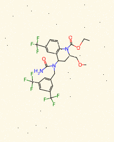 CCOC(=O)N1c2ccc(C(F)(F)F)cc2C(N(Cc2cc(C(F)(F)F)cc(C(F)(F)F)c2)C(N)=O)CC1COC